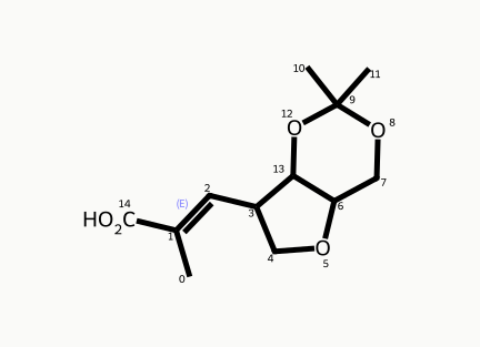 C/C(=C\C1COC2COC(C)(C)OC12)C(=O)O